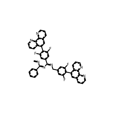 C=N/C(=N\C(=N/Cc1cc(F)c(-c2cc3cccnc3c3ncccc23)c(F)c1)c1cc(F)c(-c2cc3cccnc3c3ncccc23)c(F)c1)c1ccccc1